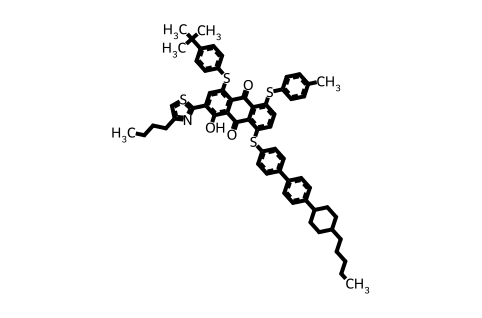 CCCCCC1CCC(c2ccc(-c3ccc(Sc4ccc(Sc5ccc(C)cc5)c5c4C(=O)c4c(O)c(-c6nc(CCCC)cs6)cc(Sc6ccc(C(C)(C)C)cc6)c4C5=O)cc3)cc2)CC1